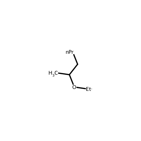 C[CH]OC(C)CCCC